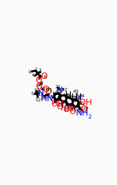 CCC(C)(C)C(=O)OCOC(=O)N(CC(=O)Nc1cc(N(C)C)c2c(c1O)C(=O)C1=C(O)[C@]3(O)C(=O)C(C(N)=O)=C(O)[C@@H](N(C)C)[C@@H]3C[C@@H]1C2)C(C)(C)C